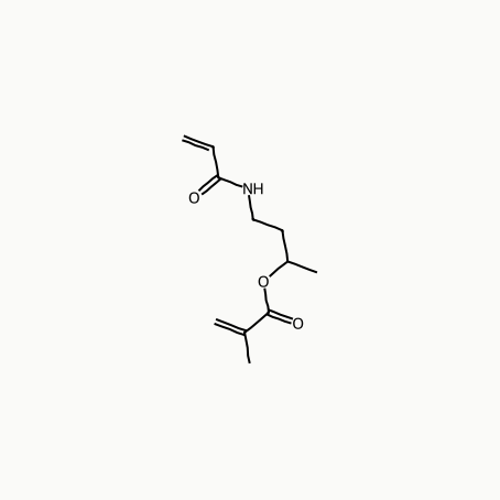 C=CC(=O)NCCC(C)OC(=O)C(=C)C